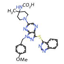 COc1ccc(Cn2nc(Sc3ncnc4ccccc34)c3ncc(N4CCC(C)(NC(=O)O)CC4)nc32)cc1